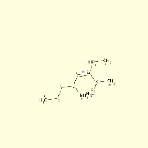 CCCC(N)/C=C(/PC)C(C)C